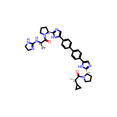 CC(C)[C@@H](NC1=NCCN1)C(=O)N1CCC[C@H]1c1ncc(-c2ccc(-c3ccc(-c4cnc([C@@H]5CCCN5C(=O)[C@@H](C)C5CC5)[nH]4)cc3)cc2)[nH]1